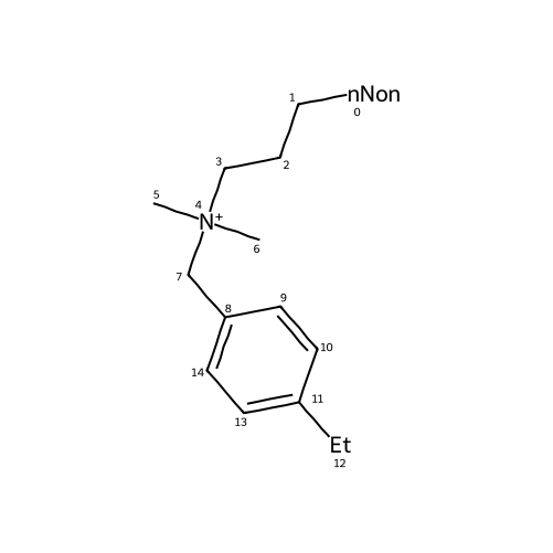 CCCCCCCCCCCC[N+](C)(C)Cc1ccc(CC)cc1